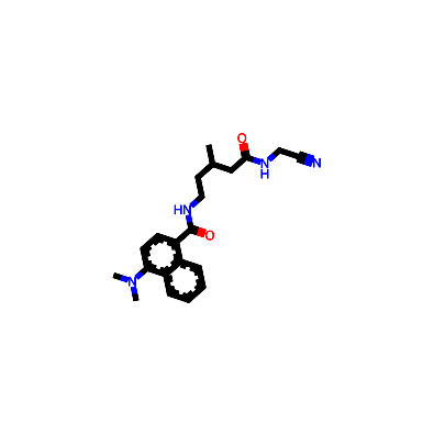 CC(CCNC(=O)c1ccc(N(C)C)c2ccccc12)CC(=O)NCC#N